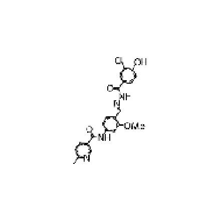 COc1cc(NC(=O)c2ccc(C)nc2)ccc1/C=N/NC(=O)c1ccc(O)c(Cl)c1